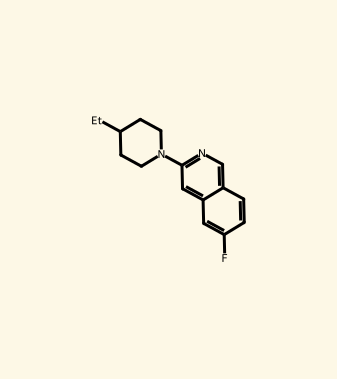 [CH2]CC1CCN(c2cc3cc(F)ccc3cn2)CC1